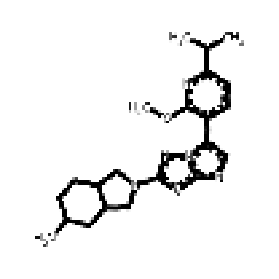 COc1nc(C(C)C)ccc1-c1cnc2sc(N3CC4CCC(N)CC4C3)nn12